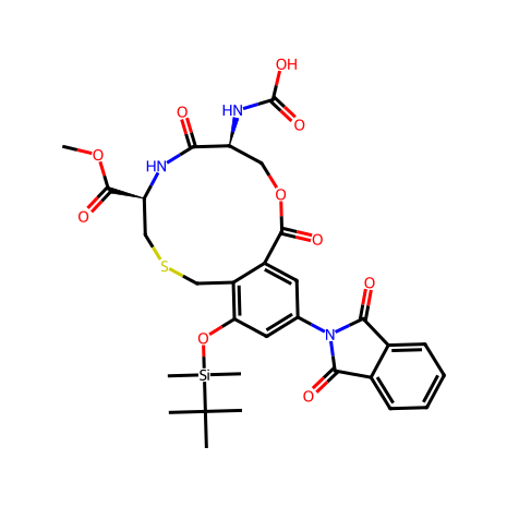 COC(=O)[C@@H]1CSCc2c(O[Si](C)(C)C(C)(C)C)cc(N3C(=O)c4ccccc4C3=O)cc2C(=O)OC[C@H](NC(=O)O)C(=O)N1